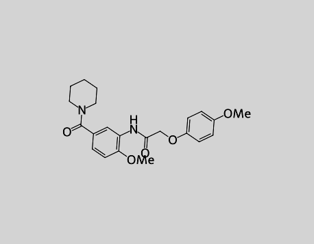 COc1ccc(OCC(=O)Nc2cc(C(=O)N3CCCCC3)ccc2OC)cc1